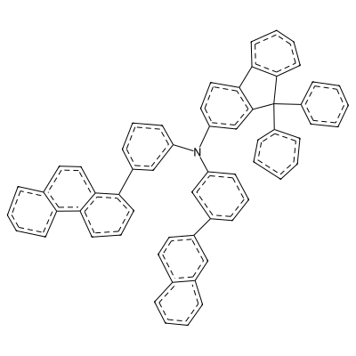 c1ccc(C2(c3ccccc3)c3ccccc3-c3ccc(N(c4cccc(-c5ccc6ccccc6c5)c4)c4cccc(-c5cccc6c5ccc5ccccc56)c4)cc32)cc1